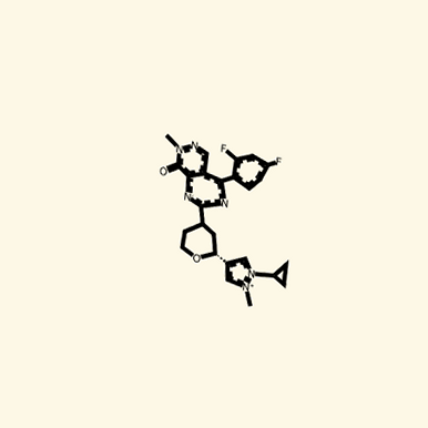 Cn1ncc2c(-c3ccc(F)cc3F)nc(C3CCO[C@@H](c4cn(C5CC5)[n+](C)c4)C3)nc2c1=O